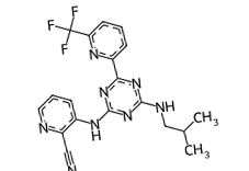 CC(C)CNc1nc(Nc2cccnc2C#N)nc(-c2cccc(C(F)(F)F)n2)n1